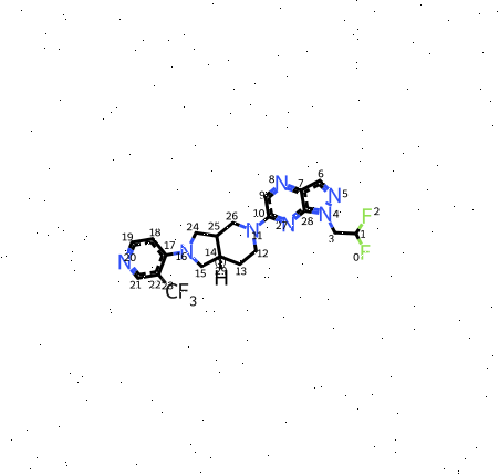 FC(F)Cn1ncc2ncc(N3CC[C@@H]4CN(c5ccncc5C(F)(F)F)CC4C3)nc21